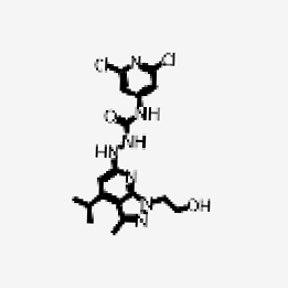 Cc1nn(CCO)c2nc(NNC(=O)Nc3cc(Cl)nc(Cl)c3)cc(C(C)C)c12